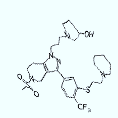 CS(=O)(=O)N1CCc2c(c(-c3ccc(C(F)(F)F)c(SCCN4CCCCC4)c3)nn2CCCN2CCC(O)C2)C1